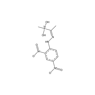 CC(=NNc1ccc([N+](=O)[O-])cc1[N+](=O)[O-])[PH](C)(O)O